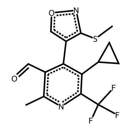 CSc1nocc1-c1c(C=O)c(C)nc(C(F)(F)F)c1C1CC1